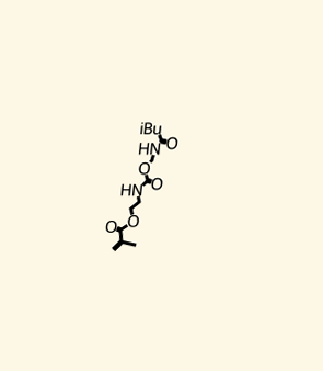 C=C(C)C(=O)OCCNC(=O)OCNC(=O)C(C)CC